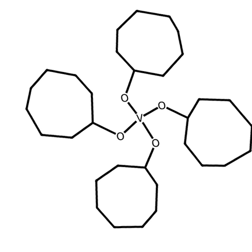 C1CCCC([O][V]([O]C2CCCCCCC2)([O]C2CCCCCCC2)[O]C2CCCCCCC2)CCC1